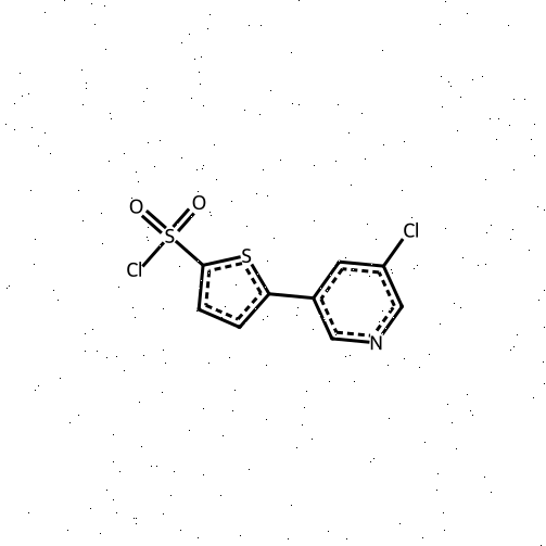 O=S(=O)(Cl)c1ccc(-c2cncc(Cl)c2)s1